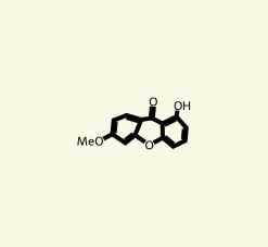 COc1ccc2c(=O)c3c(O)cccc3oc2c1